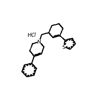 C1=C(c2ccccc2)CCN(CC2C=C(c3cccs3)CCC2)C1.Cl